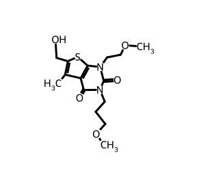 COCCCn1c(=O)c2c(C)c(CO)sc2n(CCOC)c1=O